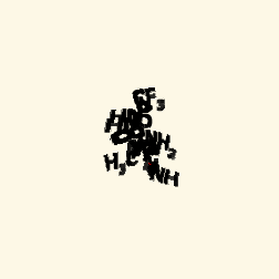 Cc1nc(-c2ccc(NC(=O)Nc3cccc(C(F)(F)F)c3)c3ccccc23)c2c(N)ncc(CN3CC4CC3CN4)n12